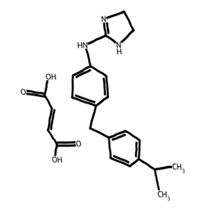 CC(C)c1ccc(Cc2ccc(NC3=NCCN3)cc2)cc1.O=C(O)/C=C/C(=O)O